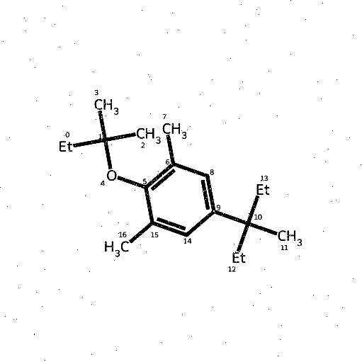 CCC(C)(C)Oc1c(C)cc(C(C)(CC)CC)cc1C